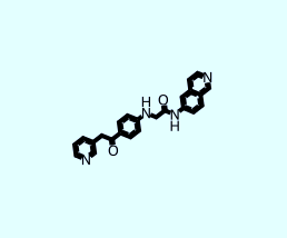 O=C(CNc1ccc(C(=O)Cc2cccnc2)cc1)Nc1ccc2cnccc2c1